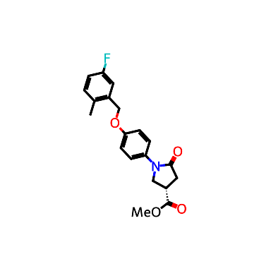 COC(=O)[C@H]1CC(=O)N(c2ccc(OCc3cc(F)ccc3C)cc2)C1